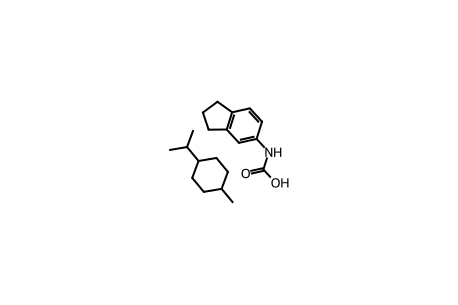 CC1CCC(C(C)C)CC1.O=C(O)Nc1ccc2c(c1)CCC2